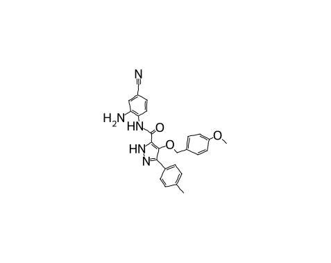 COc1ccc(COc2c(-c3ccc(C)cc3)n[nH]c2C(=O)Nc2ccc(C#N)cc2N)cc1